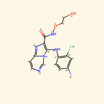 O=C(NOCCO)c1nc2ccncn2c1Nc1ccc(I)cc1F